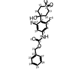 O=C(Nc1cc(F)c(C2(O)CCS(=O)(=O)CC2)c(F)c1)OCc1ccccc1